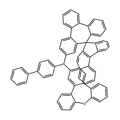 c1ccc(-c2ccc(N(c3ccc4c(c3)-c3ccccc3Oc3ccccc3-4)c3ccc4c(c3)C3(c5ccccc5-c5ccccc5-4)c4ccccc4-c4c3ccc3ccccc43)cc2)cc1